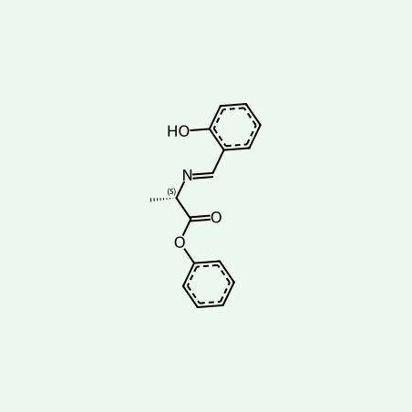 C[C@H](N=Cc1ccccc1O)C(=O)Oc1ccccc1